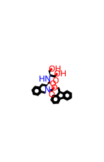 O=C(O)[C@H](CO)NC(=O)[C@@H]1Cc2ccccc2CN1C(=O)OCC1c2ccccc2-c2ccccc21